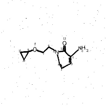 Nc1cccn(CCOC2CC2)c1=O